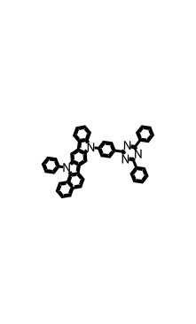 c1ccc(-c2nc(-c3ccccc3)nc(-c3ccc(-n4c5ccccc5c5cc6c(cc54)c4ccc5ccccc5c4n6-c4ccccc4)cc3)n2)cc1